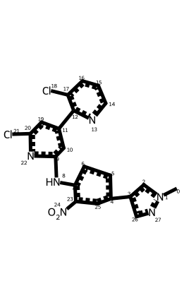 Cn1cc(-c2ccc(Nc3cc(-c4ncccc4Cl)cc(Cl)n3)c([N+](=O)[O-])c2)cn1